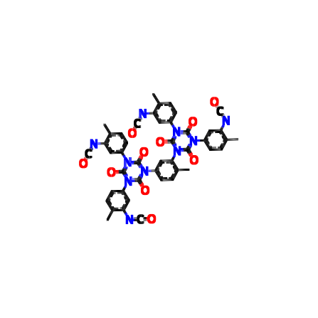 Cc1ccc(-n2c(=O)n(-c3ccc(C)c(N=C=O)c3)c(=O)n(-c3ccc(C)c(-n4c(=O)n(-c5ccc(C)c(N=C=O)c5)c(=O)n(-c5ccc(C)c(N=C=O)c5)c4=O)c3)c2=O)cc1N=C=O